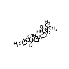 Cc1ccc2c(C(=O)N3CCC(N4CCCC5(C4)NC(=O)N(C(C)C)C5=O)CC3)c(N)sc2n1